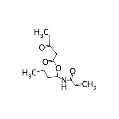 C=CC(=O)NC(CCC)OC(=O)CC(=O)CC